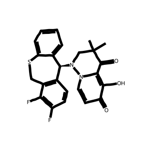 CC1(C)CN([C@@H]2c3ccccc3SCc3c2ccc(F)c3F)n2ccc(=O)c(O)c2C1=O